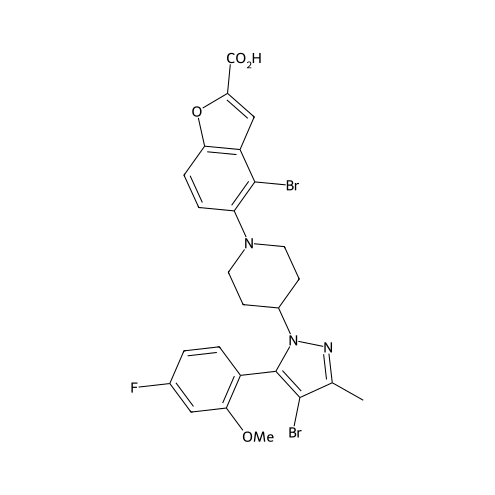 COc1cc(F)ccc1-c1c(Br)c(C)nn1C1CCN(c2ccc3oc(C(=O)O)cc3c2Br)CC1